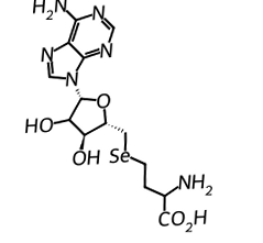 Nc1ncnc2c1ncn2[C@@H]1O[C@H](C[Se]CCC(N)C(=O)O)[C@@H](O)C1O